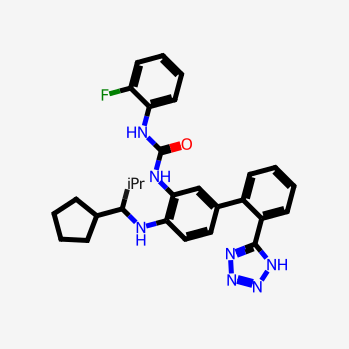 CC(C)C(Nc1ccc(-c2ccccc2-c2nnn[nH]2)cc1NC(=O)Nc1ccccc1F)C1CCCC1